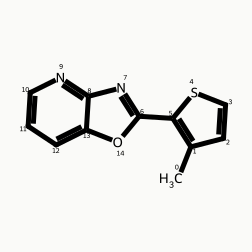 Cc1ccsc1-c1nc2ncccc2o1